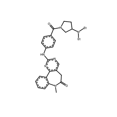 CCN(CC)C1CCN(C(=O)c2ccc(Nc3ncc4c(n3)-c3ccccc3N(C)C(=O)C4)cc2)C1